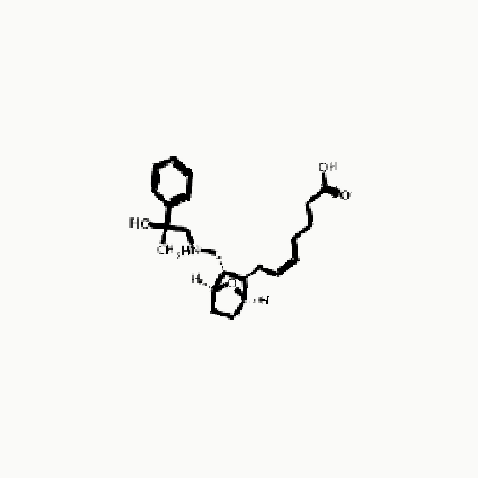 CC(O)(CNC[C@@H]1[C@@H](C/C=C\CCCC(=O)O)[C@H]2CC[C@@H]1O2)c1ccccc1